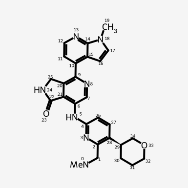 CNCc1nc(Nc2cnc(-c3ccnc4c3ccn4C)c3c2C(=O)NC3)ccc1[C@@H]1CCCOC1